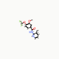 COc1cc(C(=O)Nc2ncccc2C)ccc1OC(F)F